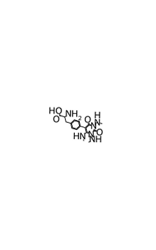 CNc1c(-c2ccc(C[C@H](N)C(=O)O)cc2)c(=O)n(NC)c(=O)n1NC